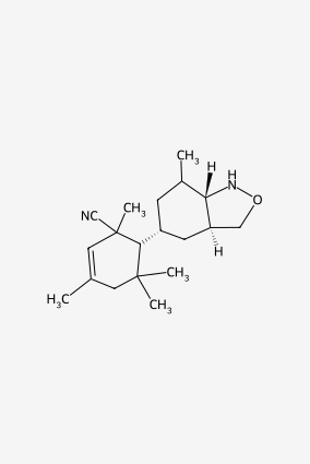 CC1=CC(C)(C#N)C([C@@H]2CC(C)[C@@H]3NOC[C@H]3C2)C(C)(C)C1